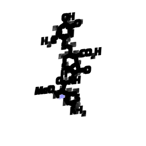 CO/N=C(\C(=O)N[C@@H]1C(=O)C2C(C(=O)O)=C(CSc3nc(=O)c(O)cn3C)CS[C@@H]21)c1csc(N)n1